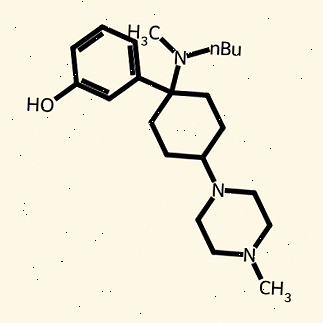 CCCCN(C)C1(c2cccc(O)c2)CCC(N2CCN(C)CC2)CC1